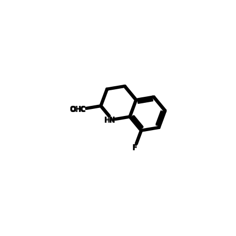 O=CC1CCc2cccc(F)c2N1